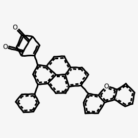 O=C1C(=O)C2C=CC1C=C2c1cc(-c2ccccc2)c2ccc3c(-c4cccc5c4oc4ccccc45)ccc4ccc1c2c43